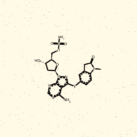 CN1C(=O)Cc2cc(Sc3nn([C@H]4C[C@H](O)[C@@H](COS(N)(=O)=O)O4)c4ncnc(N)c34)ccc21